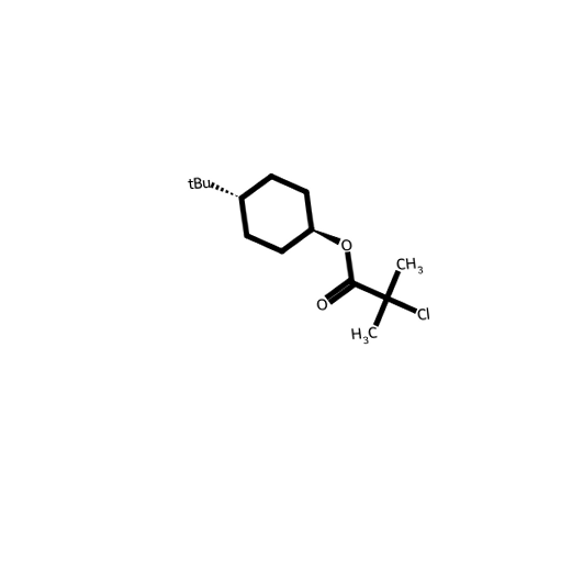 CC(C)(Cl)C(=O)O[C@H]1CC[C@H](C(C)(C)C)CC1